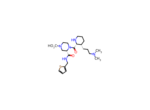 CN(C)CCC[C@H]1CCCN[C@H]1C(=O)N1CCN(C(=O)O)C[C@H]1C(=O)NCc1cccs1